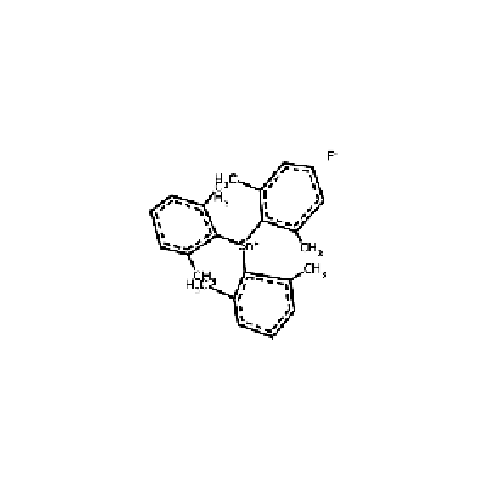 Cc1cccc(C)[c]1[Sn+]([c]1c(C)cccc1C)[c]1c(C)cccc1C.[F-]